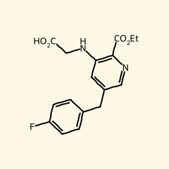 CCOC(=O)c1ncc(Cc2ccc(F)cc2)cc1NCC(=O)O